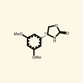 COc1cc(OC)cc([C@@H]2COC(=O)N2)c1